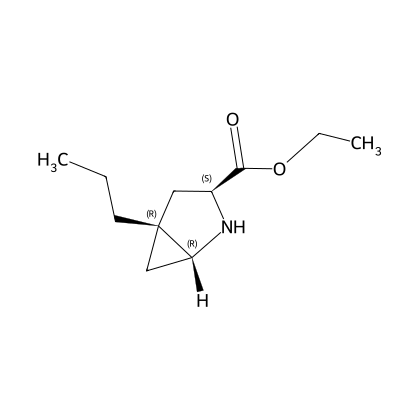 CCC[C@@]12C[C@@H](C(=O)OCC)N[C@@H]1C2